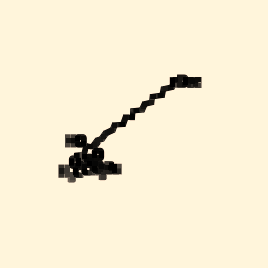 CCCCCCCCCCCCCCCCCCCCCCCCC/C=C/[C@@H](O)[C@@H]1COC(C)(C)N1C(=O)OC(C)(C)C